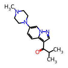 CC(C)C(=O)c1cnn2cc(N3CCN(C)CC3)ccc12